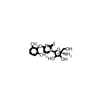 Cc1cccc(C)c1Oc1ccn(C2O[C@](N)(CO)C(O)C2O)c(=S)n1